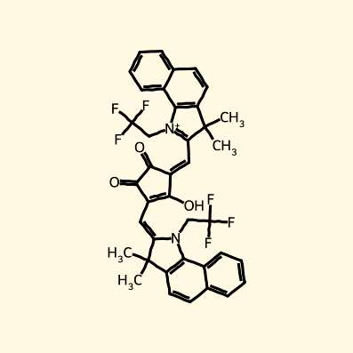 CC1(C)C(/C=C2\C(=O)C(=O)C(/C=C3\N(CC(F)(F)F)c4c(ccc5ccccc45)C3(C)C)=C2O)=[N+](CC(F)(F)F)c2c1ccc1ccccc21